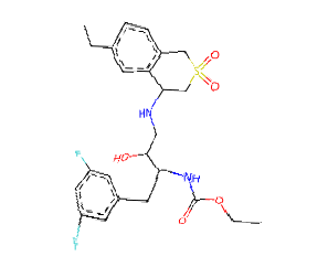 CCOC(=O)NC(Cc1cc(F)cc(F)c1)C(O)CNC1CS(=O)(=O)Cc2ccc(CC)cc21